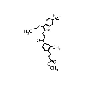 CCCCc1c(C=CC(=O)c2ccc(C=CC(=O)OC)c(C)c2)sc2cc(C(F)(F)F)ccc12